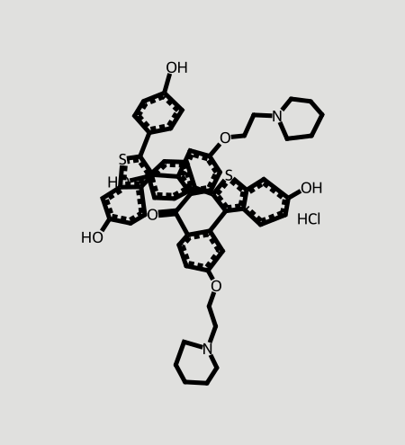 Cl.O=C(c1ccc(OCCN2CCCCC2)cc1-c1c(-c2ccc(O)cc2)sc2cc(O)ccc12)c1ccc(OCCN2CCCCC2)cc1-c1c(-c2ccc(O)cc2)sc2cc(O)ccc12